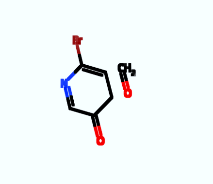 C=O.O=C1C=NC(Br)=CC1